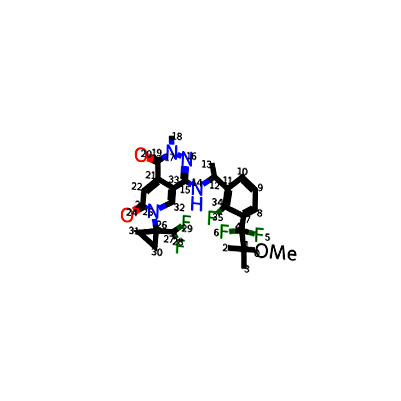 COC(C)(C)C(F)(F)c1cccc(C(C)Nc2nn(C)c(=O)c3cc(=O)n(C4(C(F)F)CC4)cc23)c1F